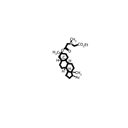 CCOC(=O)CN(C)CC(=O)O[C@]1(C)CC[C@@]2(C)[C@@H](CC[C@@H]3[C@@H]2CC[C@]2(C)[C@@H](C(C)=O)CC[C@@H]32)C1